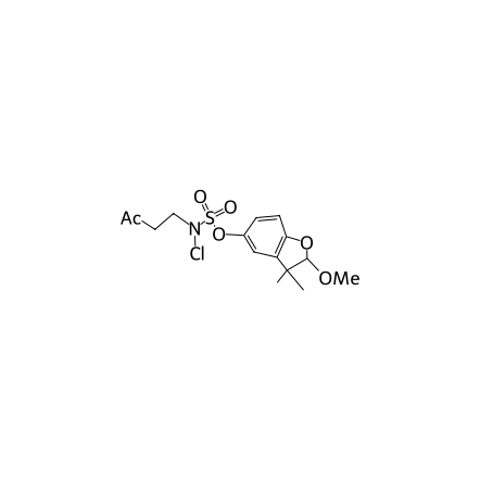 COC1Oc2ccc(OS(=O)(=O)N(Cl)CCC(C)=O)cc2C1(C)C